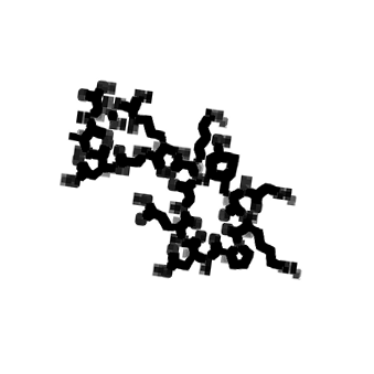 C[C@H](NC(=O)[C@H](CC(=O)O)NC(=O)CNC(=O)[C@H](CCCNC(=N)N)NC(=O)[C@H](CCCCN)NC(=O)CNC(=O)[C@H](CCC(=O)O)NC(=O)[C@H](CC(=O)O)NC(=O)[C@@H]1CCCN1C(=O)[C@H](CCCCN)NC(=O)[C@H](Cc1ccc(O)cc1)NC(=O)CN)C(=O)N[C@@H](CS)C(=O)O